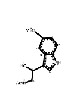 COc1ccc2[nH]cc(C(O)CNC(C)=O)c2c1